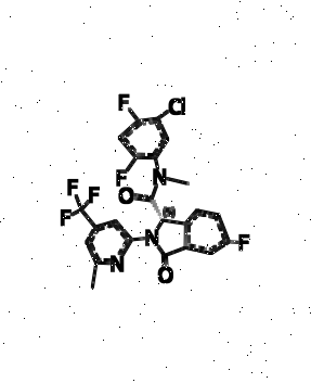 Cc1cc(C(F)(F)F)cc(N2C(=O)c3cc(F)ccc3[C@H]2C(=O)N(C)c2cc(Cl)c(F)cc2F)n1